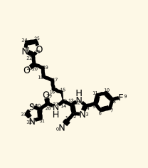 N#Cc1nc(-c2ccc(F)cc2)[nH]c1[C@H](CCCCCC(=O)c1ncco1)NC(=O)c1cncs1